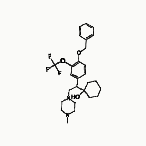 CN1CCN(CC(c2ccc(OCc3ccccc3)c(OC(F)(F)F)c2)C2(O)CCCCC2)CC1